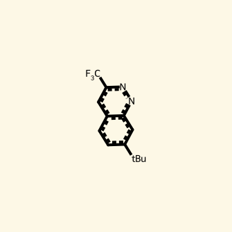 CC(C)(C)c1ccc2cc(C(F)(F)F)nnc2c1